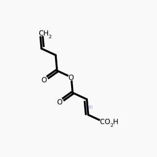 C=CCC(=O)OC(=O)/C=C/C(=O)O